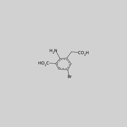 Nc1c(CC(=O)O)cc(Br)cc1C(=O)O